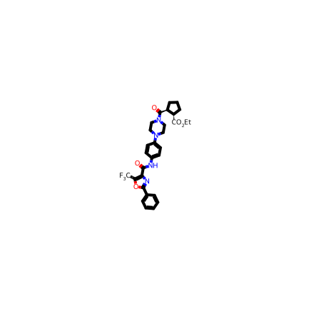 CCOC(=O)[C@H]1CCC[C@@H]1C(=O)N1CCN(c2ccc(NC(=O)c3nc(-c4ccccc4)oc3C(F)(F)F)cc2)CC1